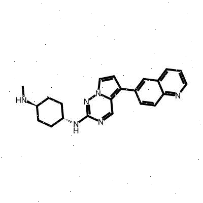 CN[C@H]1CC[C@H](Nc2ncc3c(-c4ccc5ncccc5c4)ccn3n2)CC1